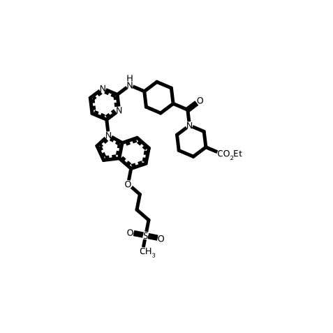 CCOC(=O)C1CCCN(C(=O)C2CCC(Nc3nccc(-n4ccc5c(OCCCS(C)(=O)=O)cccc54)n3)CC2)C1